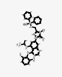 CCn1c(CO[Si](c2ccccc2)(c2ccccc2)C(C)(C)C)nn(-c2cc(OC(C)C(F)(F)F)c3c(Oc4c(F)cccc4Cl)ncnc3c2)c1=O